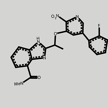 CNC(=O)c1cccc2[nH]c(C(C)Oc3cc(-c4ccccc4F)cnc3[N+](=O)[O-])nc12